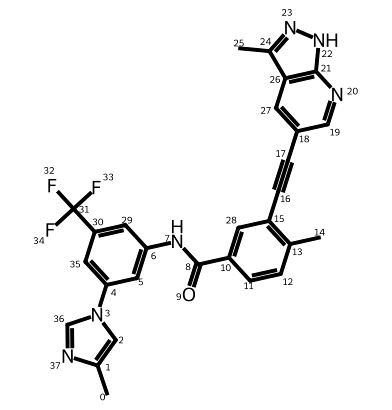 Cc1cn(-c2cc(NC(=O)c3ccc(C)c(C#Cc4cnc5[nH]nc(C)c5c4)c3)cc(C(F)(F)F)c2)cn1